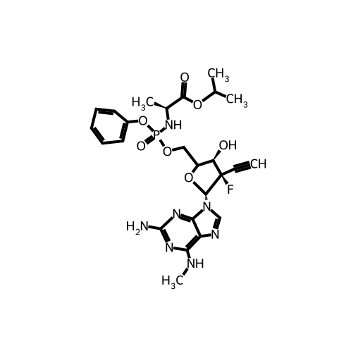 C#C[C@@]1(F)[C@H](O)C(COP(=O)(N[C@@H](C)C(=O)OC(C)C)Oc2ccccc2)O[C@H]1n1cnc2c(NC)nc(N)nc21